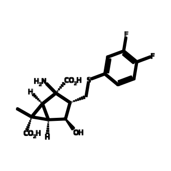 C[C@]1(C(=O)O)[C@@H]2[C@H](O)[C@@H](CSc3ccc(F)c(F)c3)[C@@](N)(C(=O)O)[C@@H]21